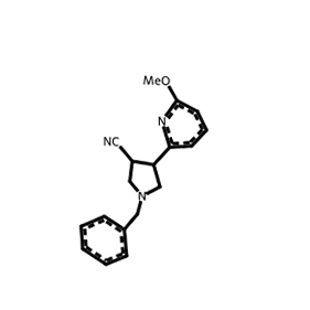 COc1cccc(C2CN(Cc3ccccc3)CC2C#N)n1